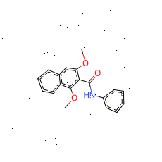 COc1cc2ccccc2c(OC)c1C(=O)Nc1ccccc1